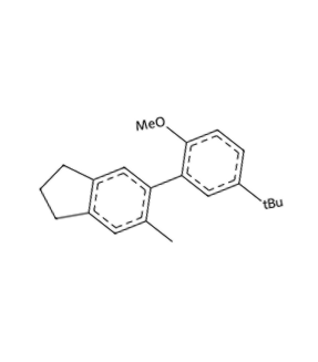 COc1ccc(C(C)(C)C)cc1-c1cc2c(cc1C)CCC2